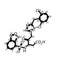 O=C(O)CC(NS(=O)(=O)c1cccc2nonc12)C(=O)Cn1nnc(Cc2c(Cl)cccc2Cl)n1